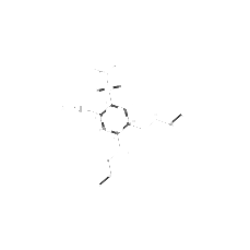 C=CCOc1cc(NC(C)=O)c(S(=O)(=O)N(CC)CC)cc1OCC=C